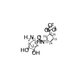 NC1C2CC(C(O)C2O)C1C(=O)Nc1cccc(S(=O)(=O)C(F)(F)F)c1